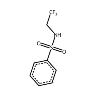 O=S(=O)(NCC(F)(F)F)c1c[c]ccc1